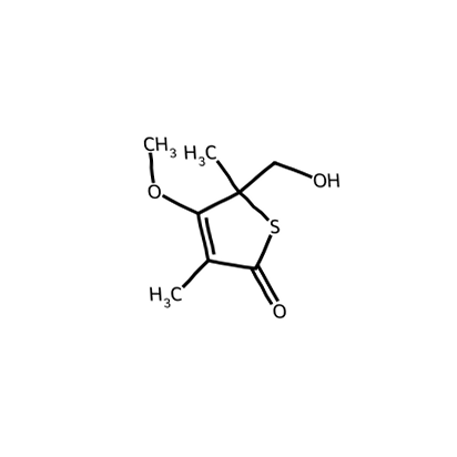 COC1=C(C)C(=O)SC1(C)CO